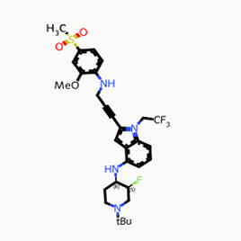 COc1cc(S(C)(=O)=O)ccc1NCC#Cc1cc2c(N[C@@H]3CCN(C(C)(C)C)C[C@@H]3F)cccc2n1CC(F)(F)F